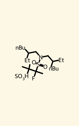 CCCCC(CC)CN(CC(CC)CCCC)S(=O)(=O)C(C)(F)C(C)(C)S(=O)(=O)O